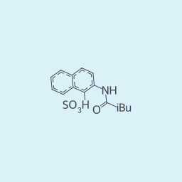 CCC(C)C(=O)Nc1ccc2ccccc2c1S(=O)(=O)O